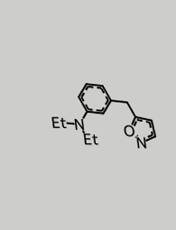 CCN(CC)c1cccc(Cc2ccno2)c1